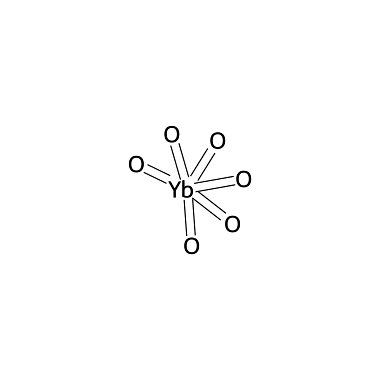 [O]=[Yb](=[O])(=[O])(=[O])(=[O])=[O]